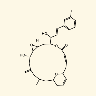 C=C1CC(C)CC2CC=CC(C/C=C\C(=O)OC(C(O)/C=C/c3cccc(C)c3)C[C@@H]3OC3[C@@H](O)C1)O2